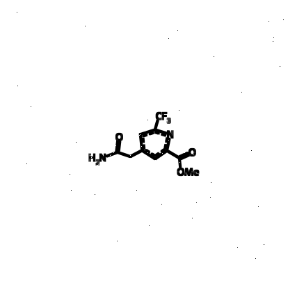 COC(=O)c1cc(CC(N)=O)cc(C(F)(F)F)n1